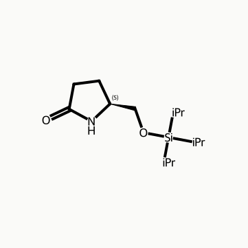 CC(C)[Si](OC[C@@H]1CCC(=O)N1)(C(C)C)C(C)C